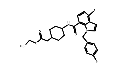 CCOC(=O)CC1CCC(NC(=O)c2ccc(F)c3ccn(Cc4ccc(Br)cc4)c23)CC1